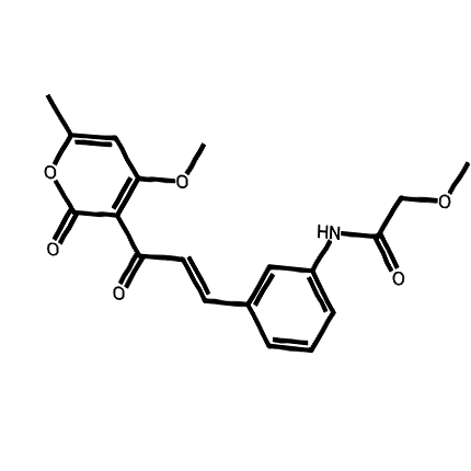 COCC(=O)Nc1cccc(C=CC(=O)c2c(OC)cc(C)oc2=O)c1